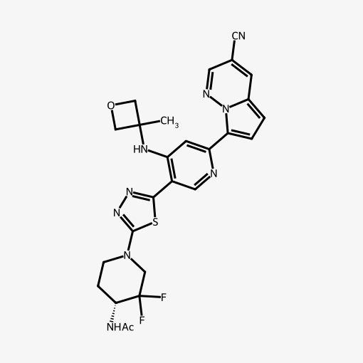 CC(=O)N[C@@H]1CCN(c2nnc(-c3cnc(-c4ccc5cc(C#N)cnn45)cc3NC3(C)COC3)s2)CC1(F)F